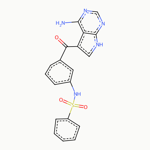 Nc1ncnc2[nH]cc(C(=O)c3cccc(NS(=O)(=O)c4ccccc4)c3)c12